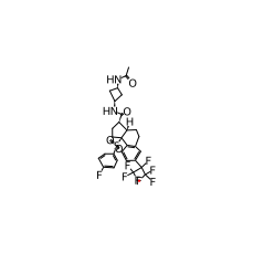 CC(=O)N[C@H]1C[C@@H](NC(=O)[C@@H]2CC[C@@]3(S(=O)(=O)c4ccc(F)cc4)c4ccc(C(F)(C(F)(F)F)C(F)(F)F)cc4CC[C@@H]23)C1